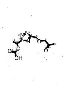 CC(=O)COCc1nnn(C(C)OC(=O)O)n1